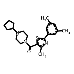 Cc1cc(C)cc(-c2nc(C)c(C(=O)N3CCN(C4CCCC4)CC3)s2)c1